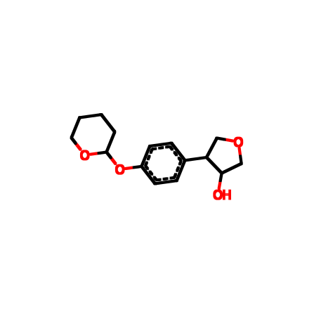 OC1COCC1c1ccc(OC2CCCCO2)cc1